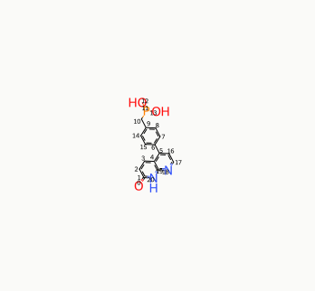 O=c1ccc2c(-c3ccc(CP(O)O)cc3)ccnc2[nH]1